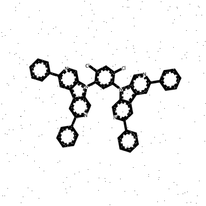 Clc1cc(Cl)c(-n2c3cnc(-c4ccccc4)cc3c3cc(-c4ccccc4)ncc32)cc1-n1c2cnc(-c3ccccc3)cc2c2cc(-c3ccccc3)ncc21